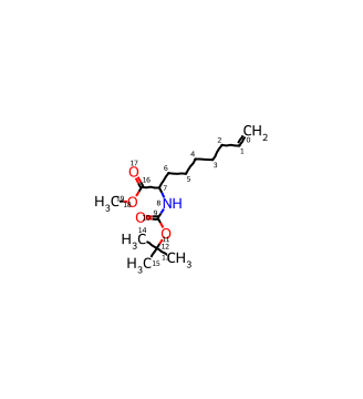 C=CCCCCCC(NC(=O)OC(C)(C)C)C(=O)OC